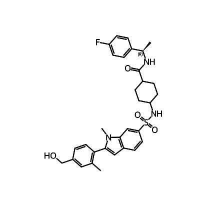 Cc1cc(CO)ccc1-c1cc2ccc(S(=O)(=O)NC3CCC(C(=O)N[C@H](C)c4ccc(F)cc4)CC3)cc2n1C